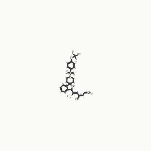 C=C/C=C(Cl)\C=C(/C)C1OC2(CCN(S(=O)(=O)c3ccc(OC(F)(F)F)cc3)CC2)c2ccccc21